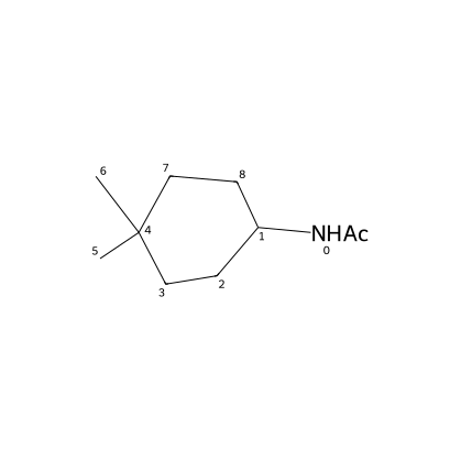 CC(=O)NC1CCC(C)(C)CC1